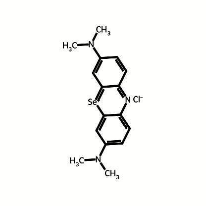 CN(C)c1ccc2nc3ccc(N(C)C)cc3[se+]c2c1.[Cl-]